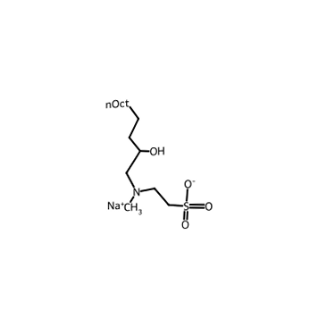 CCCCCCCCCCC(O)CN(C)CCS(=O)(=O)[O-].[Na+]